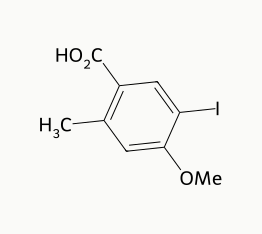 COc1cc(C)c(C(=O)O)cc1I